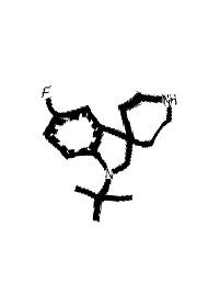 CC(C)(C)N1CC2(CCNCC2)c2cc(F)ccc21